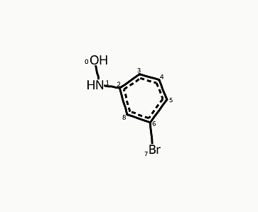 ONc1cccc(Br)c1